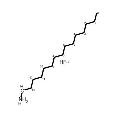 CCCCCCCCCCCCCCON.F